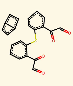 O=CC(=O)c1ccccc1Sc1ccccc1C(=O)C=O.c1cc2ccc1-2